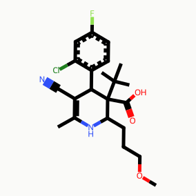 COCCCC1NC(C)=C(C#N)C(c2ccc(F)cc2Cl)C1(C(=O)O)C(C)(C)C